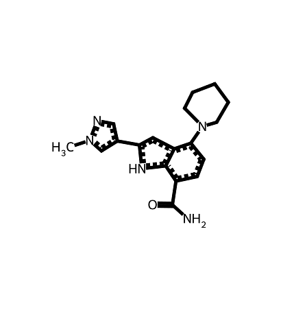 Cn1cc(-c2cc3c(N4CCCCC4)ccc(C(N)=O)c3[nH]2)cn1